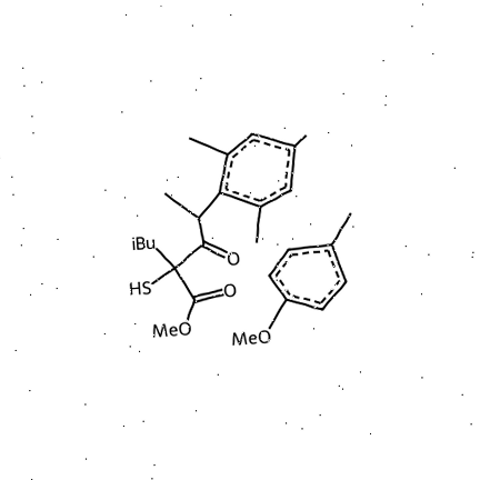 CCC(C)C(S)(C(=O)OC)C(=O)C(C)c1c(C)cc(C)cc1C.COc1ccc(C)cc1